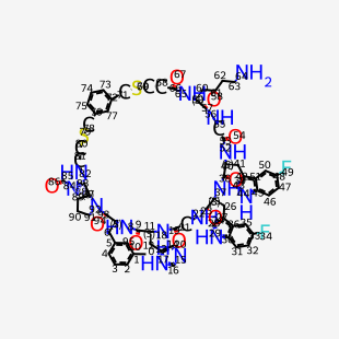 Cc1cccc(C[C@@H]2NC(=O)[C@H](Cc3cnc[nH]3)NC(=O)CNC(=O)[C@H](Cc3c[nH]c4ccc(F)cc34)NC(=O)[C@H](Cc3c[nH]c4ccc(F)cc34)NC(=O)CNC(=O)[C@H](CCCCN)NC(=O)CCSCc3cccc(c3)CSCCN/C(=N\C=O)[C@]3(C)CCCN3C2=O)c1